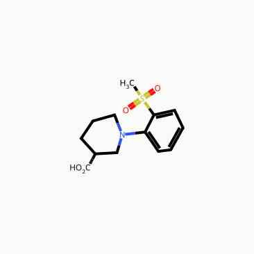 CS(=O)(=O)c1ccccc1N1CCCC(C(=O)O)C1